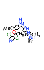 COc1cc2[nH]nc(-c3cc(C#N)c(N4CC(C)(NCC(C)C)C4)nn3)c2cc1O[C@H](C)c1c(Cl)cncc1Cl